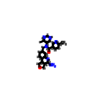 Cc1ncncc1N(Cc1ccc2c3c(c(N)nc2c1)COC3)C(=O)c1ccc(C(F)(F)F)nc1